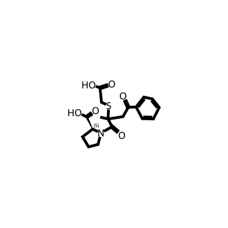 CC(CC(=O)c1ccccc1)(SCC(=O)O)C(=O)N1CCC[C@H]1C(=O)O